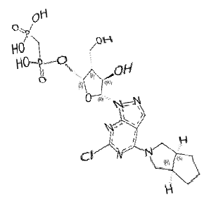 O=P(O)(O)CP(=O)(O)OC[C@H]1O[C@@H](n2ncc3c(N4C[C@H]5CCC[C@H]5C4)nc(Cl)nc32)[C@H](O)[C@H]1CO